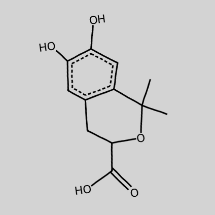 CC1(C)OC(C(=O)O)Cc2cc(O)c(O)cc21